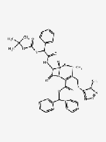 C[C@H]1S[C@H]2C(NC(=O)C(NC(=O)OC(C)(C)C)c3ccccc3)C(=O)N2C(C(=O)OC(c2ccccc2)c2ccccc2)=C1CSc1nnnn1C